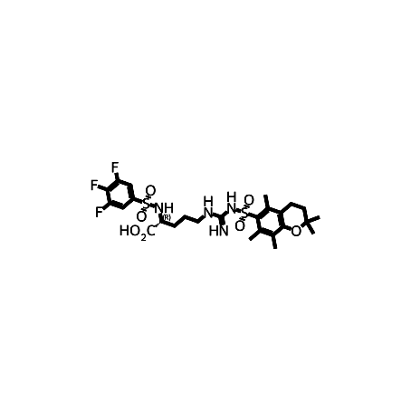 Cc1c(C)c(S(=O)(=O)NC(=N)NCCC[C@@H](NS(=O)(=O)c2cc(F)c(F)c(F)c2)C(=O)O)c(C)c2c1OC(C)(C)CC2